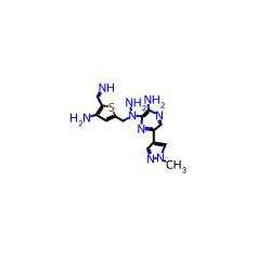 Cn1cc(-c2cnc(N)c(N(N)Cc3cc(N)c(C=N)s3)n2)cn1